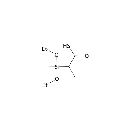 CCO[Si](C)(OCC)C(C)C(=O)S